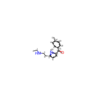 CCNCCc1ccc(C(=O)c2ccc(C)cc2)n1C